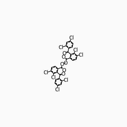 O=C(OOC(=O)c1ccc(Cl)c(Cl)c1C(=O)c1ccc(Cl)cc1Cl)c1ccc(Cl)c(Cl)c1C(=O)c1ccc(Cl)cc1Cl